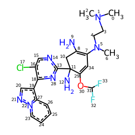 CN(C)CCN(C)C1=C(N)CC(N)(c2ncc(Cl)c(-c3cnn4ccccc34)n2)C(OC(F)F)=C1